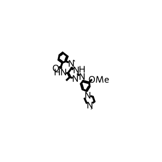 COc1cc(N2CCN(C)CC2)ccc1Nc1nc(C)c2c(n1)N(C)c1ccccc1C(=O)N2